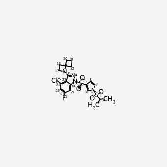 CC(C)S(=O)(=O)n1ccc(S(=O)(=O)n2nc(N3CCC34CCC4)c3c(Cl)cc(F)cc32)c1